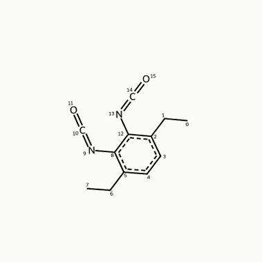 CCc1ccc(CC)c(N=C=O)c1N=C=O